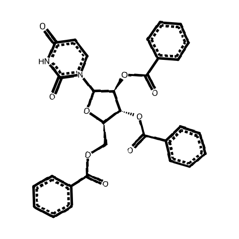 O=C(OC[C@H]1OC(n2ccc(=O)[nH]c2=O)[C@@H](OC(=O)c2ccccc2)[C@@H]1OC(=O)c1ccccc1)c1ccccc1